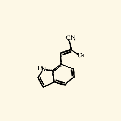 N#CC(C#N)=Cc1cccc2cc[nH]c12